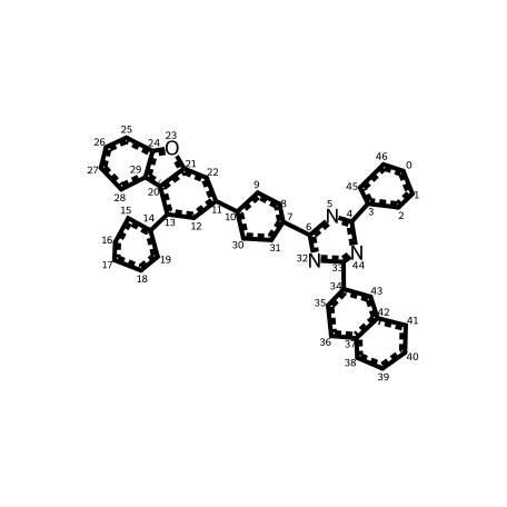 c1ccc(-c2nc(-c3ccc(-c4cc(-c5ccccc5)c5c(c4)oc4ccccc45)cc3)nc(-c3ccc4ccccc4c3)n2)cc1